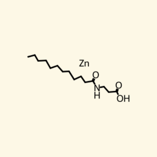 CCCCCCCCCCCC(=O)NCCC(=O)O.[Zn]